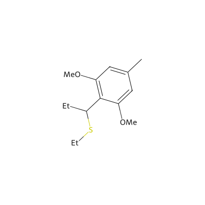 CCSC(CC)c1c(OC)cc(C)cc1OC